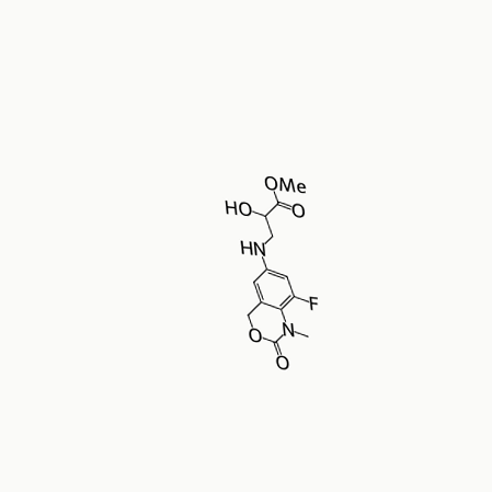 COC(=O)C(O)CNc1cc(F)c2c(c1)COC(=O)N2C